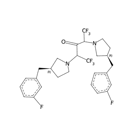 O=C(C(N1CC[C@@H](Cc2cccc(F)c2)C1)C(F)(F)F)C(N1CC[C@@H](Cc2cccc(F)c2)C1)C(F)(F)F